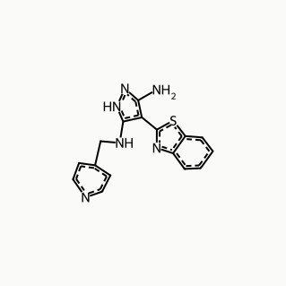 Nc1n[nH]c(NCc2ccncc2)c1-c1nc2ccccc2s1